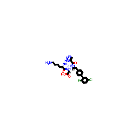 NCCCC[C@H](N)C(=O)N[C@H](C[C@@H](Cc1ccc(-c2cc(Cl)ccc2F)cc1)NC(=O)c1cnn[nH]1)C(=O)O